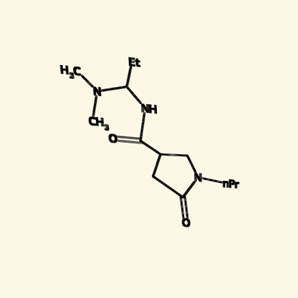 CCCN1CC(C(=O)NC(CC)N(C)C)CC1=O